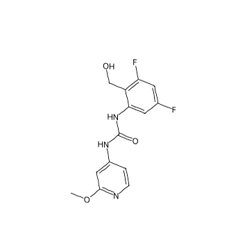 COc1cc(NC(=O)Nc2cc(F)cc(F)c2CO)ccn1